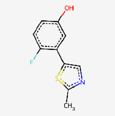 Cc1ncc(-c2cc(O)ccc2F)s1